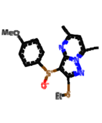 CCSc1nn2c(C)cc(C)nc2c1[S+]([O-])c1ccc(OC)cc1